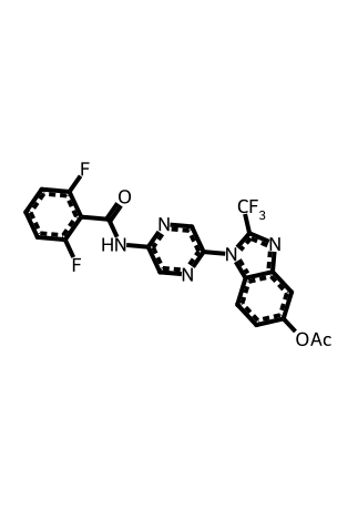 CC(=O)Oc1ccc2c(c1)nc(C(F)(F)F)n2-c1cnc(NC(=O)c2c(F)cccc2F)cn1